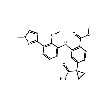 CNC(=O)c1nnc(C2(C(N)=O)CC2)cc1Nc1nccc(-c2ncn(C)n2)c1OC